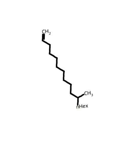 C=CCCCCCCCCC(C)CCCCCC